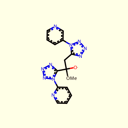 COC([O])(Cc1nnnn1-c1cccnc1)c1nnnn1-c1ccccn1